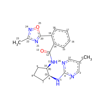 Cc1cnc(N[C@H]2CCC[C@H]2NC(=O)c2ccccc2-c2nc(C)no2)nc1